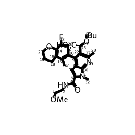 COCCNC(=O)c1cc2c(-c3cc(F)c4c(c3C)CCCO4)c([C@H](OC(C)(C)C)C(=O)O)c(C)nc2n1C